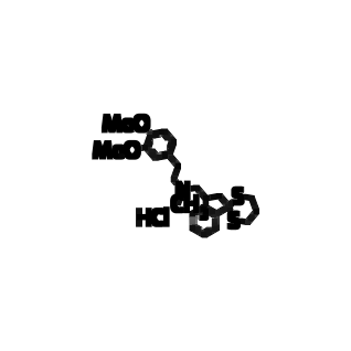 COc1ccc(CCN(C)C[CH]CC2(c3ccccc3)SCCCS2)cc1OC.Cl